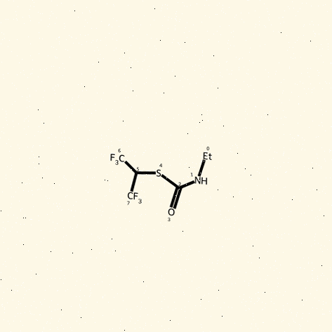 CCNC(=O)SC(C(F)(F)F)C(F)(F)F